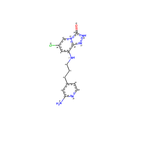 Nc1cc(CCCNc2cc(Cl)cn3c(=O)[nH]nc23)ccn1